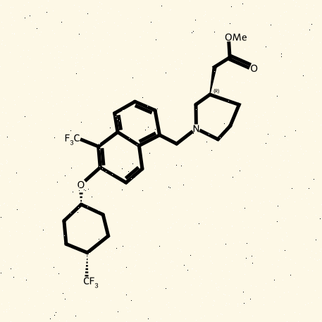 COC(=O)C[C@H]1CCCN(Cc2cccc3c(C(F)(F)F)c(O[C@H]4CC[C@@H](C(F)(F)F)CC4)ccc23)C1